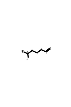 C=CCCCC(F)F